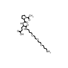 CC(=O)N1CCCC1C(=O)NC(CCC(=O)O)C(=O)NCCCOCCOCCOCCCN